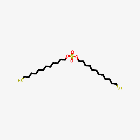 O=S(=O)(OCCCCCCCCCCCCS)OCCCCCCCCCCCCS